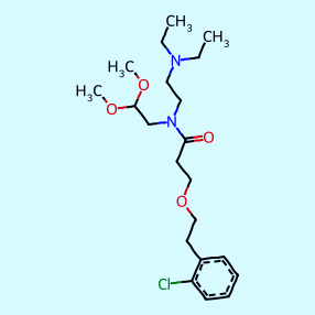 CCN(CC)CCN(CC(OC)OC)C(=O)CCOCCc1ccccc1Cl